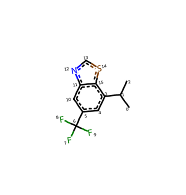 CC(C)c1cc(C(F)(F)F)cc2ncsc12